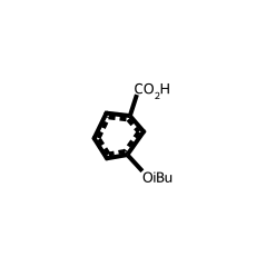 CC(C)COc1cccc(C(=O)O)c1